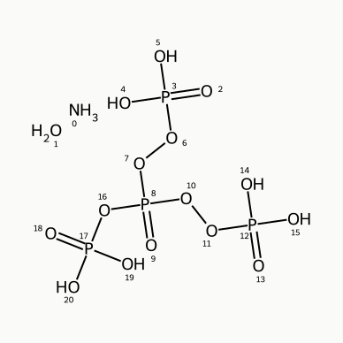 N.O.O=P(O)(O)OOP(=O)(OOP(=O)(O)O)OP(=O)(O)O